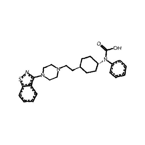 O=C(O)N(c1ccccc1)[C@H]1CC[C@H](CCN2CCN(c3nsc4ccccc34)CC2)CC1